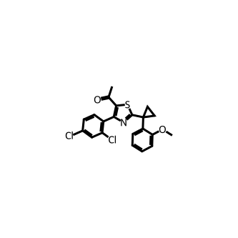 COc1ccccc1C1(c2nc(-c3ccc(Cl)cc3Cl)c(C(C)=O)s2)CC1